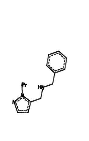 CC(C)n1nccc1CNCc1ccccc1